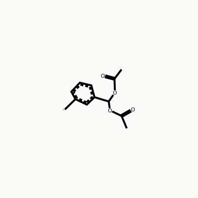 [CH]c1cccc(C(OC(C)=O)OC(C)=O)c1